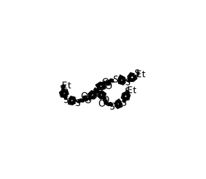 CCSc1ccc(Sc2ccc(SC=CC(=O)Oc3ccc(C(C)(c4ccc(OC(=O)C=CSc5ccc(Sc6ccc(SCC)cc6)cc5)cc4)c4ccc(OC(=O)C=CSc5ccc(Sc6ccc(SCC)cc6)cc5)cc4)cc3)cc2)cc1